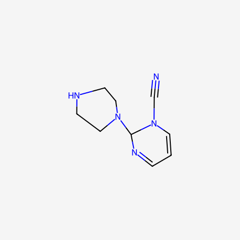 N#CN1C=CC=NC1N1CCNCC1